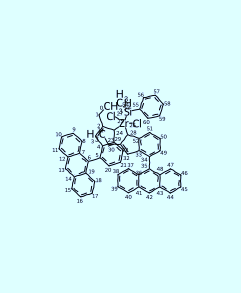 CCC1=Cc2c(-c3c4ccccc4cc4ccccc34)cccc2[CH]1[Zr]([Cl])([Cl])([CH]1C(CC)=Cc2c(-c3c4ccccc4cc4ccccc34)cccc21)[SiH](C)c1ccccc1